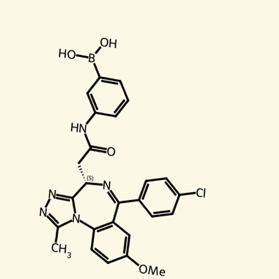 COc1ccc2c(c1)C(c1ccc(Cl)cc1)=N[C@@H](CC(=O)Nc1cccc(B(O)O)c1)c1nnc(C)n1-2